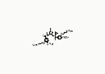 COCCCOc1cc(C(=O)N(CC2CNCC2CN(C(=O)c2ccc(OC)c(OCCCOC)c2)C2CC2)C(C)C)ccc1OC